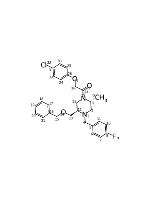 C[C@@H]1CN(Cc2ccc(F)cc2)[C@@H](COCc2ccccc2)CN1C(=O)COc1ccc(Cl)cc1